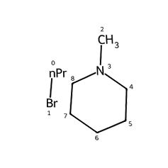 CCCBr.CN1CCCCC1